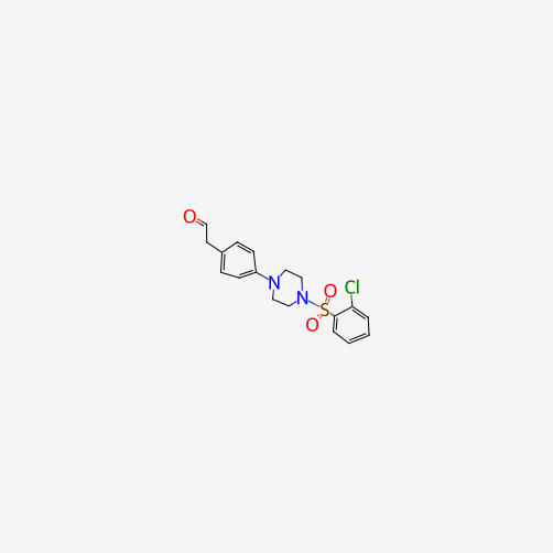 O=CCc1ccc(N2CCN(S(=O)(=O)c3ccccc3Cl)CC2)cc1